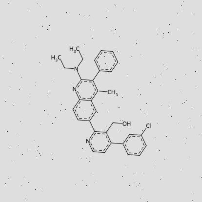 CCN(CC)c1nc2ccc(-c3nccc(-c4cccc(Cl)c4)c3CO)cc2c(C)c1-c1ccccc1